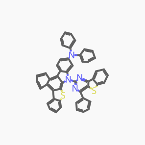 c1ccc(-c2nc(-n3c4cc(N(c5ccccc5)c5ccccc5)ccc4c4c5ccccc5c5c6ccccc6sc5c43)nc3c2sc2ccccc23)cc1